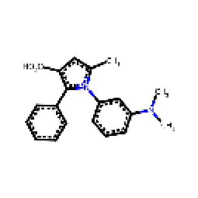 Cc1cc(C(=O)O)c(-c2ccccc2)n1-c1cccc(N(C)C)c1